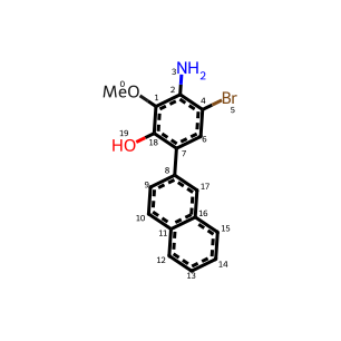 COc1c(N)c(Br)cc(-c2ccc3ccccc3c2)c1O